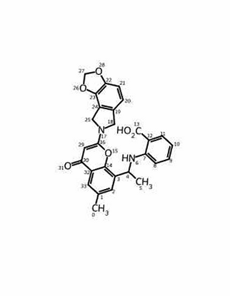 Cc1cc(C(C)Nc2ccccc2C(=O)O)c2oc(N3Cc4ccc5c(c4C3)OCO5)cc(=O)c2c1